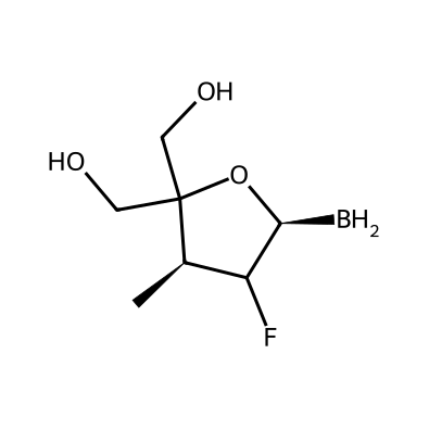 B[C@@H]1OC(CO)(CO)[C@H](C)C1F